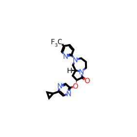 O=C1[C@H](Oc2cnc(C3CC3)cn2)C[C@@H]2CN(c3ccc(C(F)(F)F)cn3)CCCN12